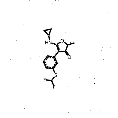 CC1OC(NC2CC2)=C(c2cccc(SC(F)F)c2)C1=O